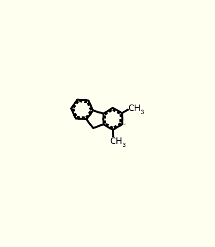 Cc1[c]c(C)c2c(c1)-c1ccccc1C2